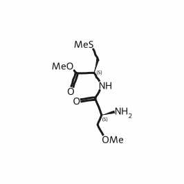 COC[C@H](N)C(=O)N[C@H](CSC)C(=O)OC